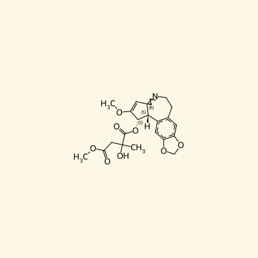 COC(=O)CC(C)(O)C(=O)O[C@@H]1C(OC)=C[C@]23CCCN2CCc2cc4c(cc2[C@H]13)OCO4